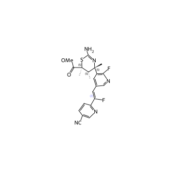 COC(=O)[C@@]1(C)SC(N)=N[C@](C)(c2cc(/C=C(\F)c3ccc(C#N)cn3)cnc2F)[C@@H]1C